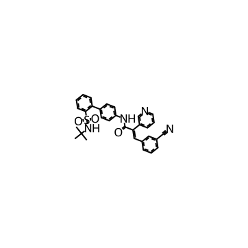 CC(C)(C)NS(=O)(=O)c1ccccc1-c1ccc(NC(=O)C(=Cc2cccc(C#N)c2)c2cccnc2)cc1